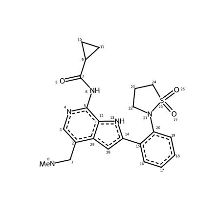 CNCc1cnc(NC(=O)C2CC2)c2[nH]c(-c3ccccc3N3CCCS3(=O)=O)cc12